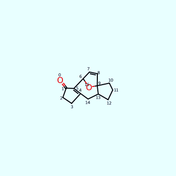 O=C1CCC2=C1C1C=CC3(CCCC3C2)O1